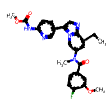 CCc1cc(N(C)C(=O)c2ccc(F)c(OC)c2)cn2c(-c3ccc(NC(=O)OC)nc3)cnc12